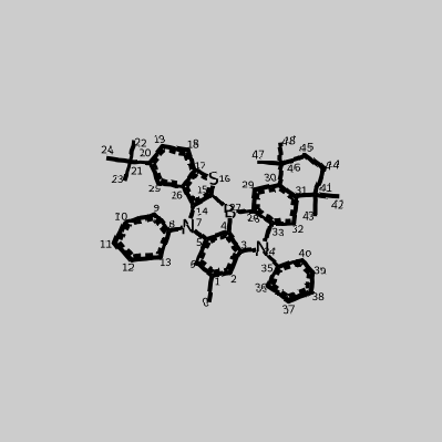 Cc1cc2c3c(c1)N(c1ccccc1)c1c(sc4ccc(C(C)(C)C)cc14)B3c1cc3c(cc1N2c1ccccc1)C(C)(C)CCC3(C)C